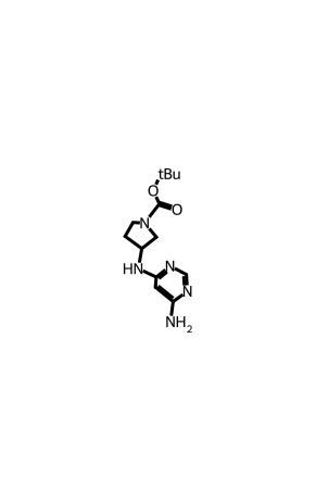 CC(C)(C)OC(=O)N1CCC(Nc2cc(N)ncn2)C1